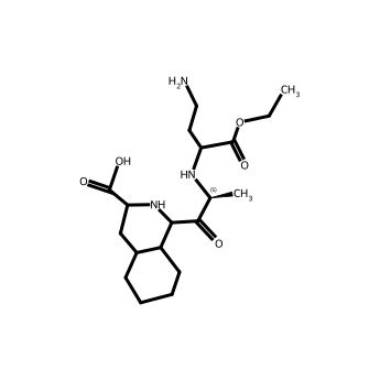 CCOC(=O)C(CCN)N[C@@H](C)C(=O)C1NC(C(=O)O)CC2CCCCC21